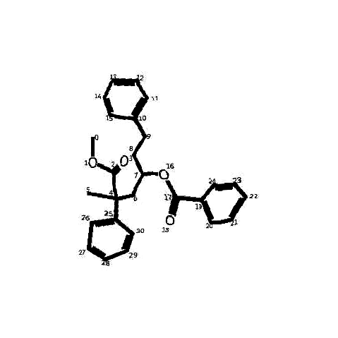 COC(=O)C(C)(CC(CCc1ccccc1)OC(=O)c1ccccc1)c1ccccc1